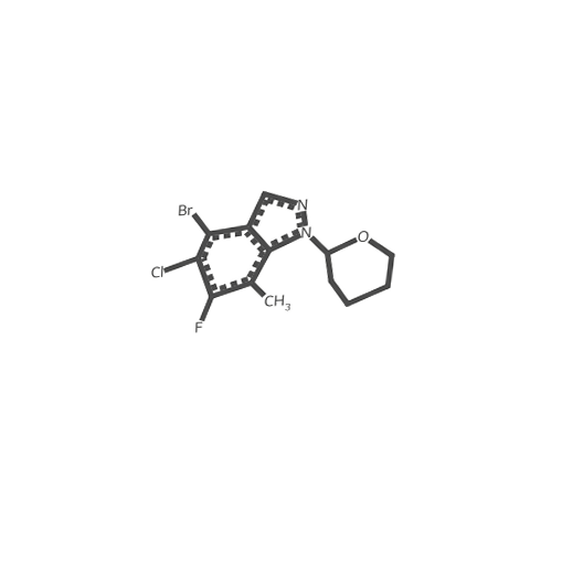 Cc1c(F)c(Cl)c(Br)c2cnn(C3CCCCO3)c12